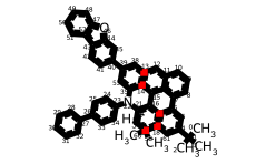 CC(C)(C)c1cc(-c2cccc3cccc(-c4ccccc4N(c4ccc(-c5ccccc5)cc4)c4cccc(-c5ccc6c(c5)oc5ccccc56)c4)c23)cc(C(C)(C)C)c1